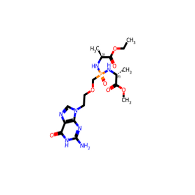 CCOC(=O)[C@H](C)NP(=O)(COCCn1cnc2c(=O)[nH]c(N)nc21)N[C@H](C)C(=O)OC